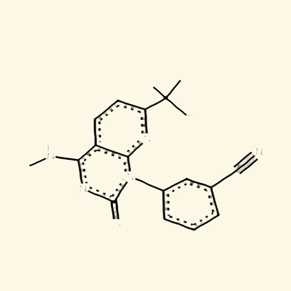 CNc1nc(=O)n(-c2cccc(C#N)c2)c2nc(C(F)(F)F)ccc12